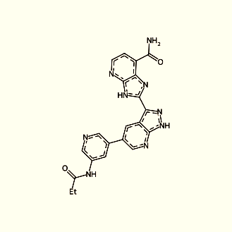 CCC(=O)Nc1cncc(-c2cnc3[nH]nc(-c4nc5c(C(N)=O)ccnc5[nH]4)c3c2)c1